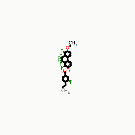 CCCc1ccc(C(=O)Oc2ccc3c(c2F)C(F)(F)C(F)(F)c2c-3ccc(OCC)c2F)cc1F